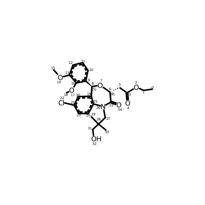 CCOC(=O)C[C@H]1O[C@H](c2cccc(OC)c2OC)c2cc(Cl)ccc2N(CC(C)(C)CO)C1=O